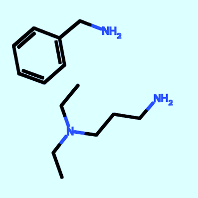 CCN(CC)CCCN.NCc1ccccc1